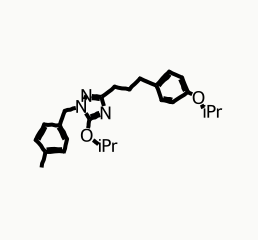 Cc1ccc(Cn2nc(CCCc3ccc(OC(C)C)cc3)nc2OC(C)C)cc1